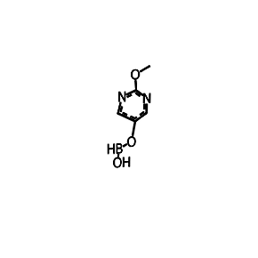 COc1ncc(OBO)cn1